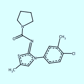 Cc1cn(-c2ccc(Cl)c(C)c2)c(=NC(=O)N2CCCC2)s1